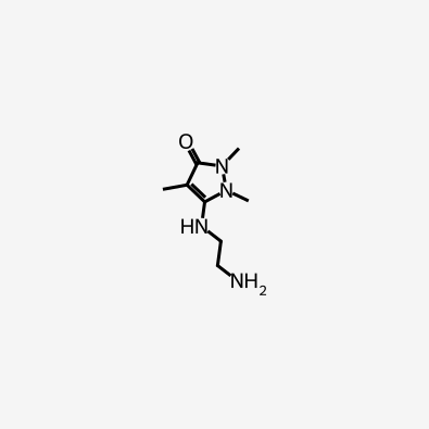 Cc1c(NCCN)n(C)n(C)c1=O